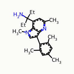 CCC(N)(CC)c1cc(C)nc2c(-c3c(C)cc(C)cc3C)cn(C)c12